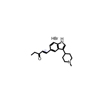 Br.CCC(=O)/C=C/c1ccc2[nH]cc(C3CCN(C)CC3)c2c1